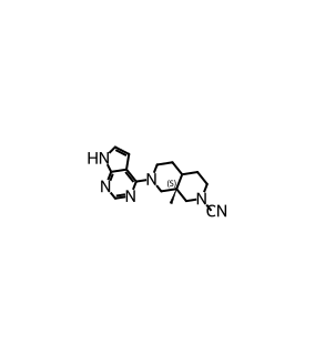 C[C@]12CN(C#N)CCC1CCN(c1ncnc3[nH]ccc13)C2